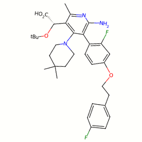 Cc1nc(N)c(-c2ccc(OCCc3ccc(F)cc3)cc2F)c(N2CCC(C)(C)CC2)c1[C@H](OC(C)(C)C)C(=O)O